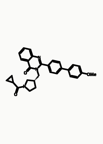 COc1ccc(-c2ccc(-c3nc4ccccc4c(=O)n3C[C@@H]3CCN(C(=O)C4CC4)C3)cc2)cc1